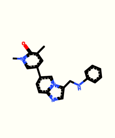 Cc1cc(-c2ccc3ncc(CNc4ccccc4)n3c2)cn(C)c1=O